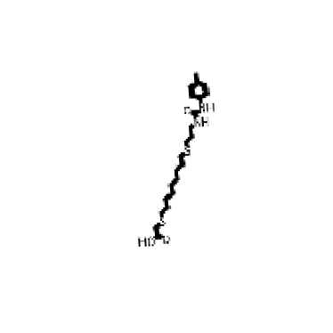 Cc1ccc(NC(=O)NCCCSCCCCCCCCCSCC(=O)O)cc1